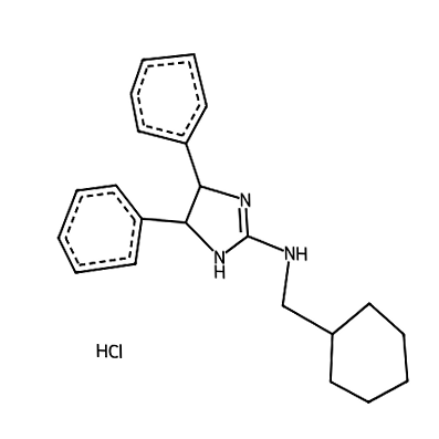 Cl.c1ccc(C2N=C(NCC3CCCCC3)NC2c2ccccc2)cc1